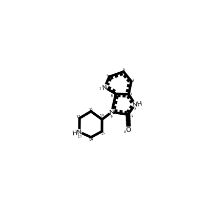 O=c1[nH]c2cccnc2n1C1CCNCC1